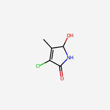 CC1=C(Cl)C(=O)NC1O